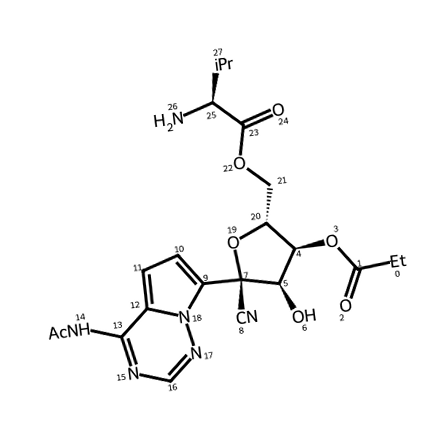 CCC(=O)O[C@H]1[C@@H](O)[C@](C#N)(c2ccc3c(NC(C)=O)ncnn23)O[C@@H]1COC(=O)[C@@H](N)C(C)C